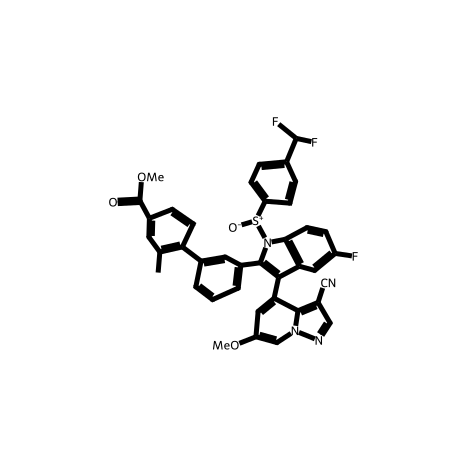 COC(=O)c1ccc(-c2cccc(-c3c(-c4cc(OC)cn5ncc(C#N)c45)c4cc(F)ccc4n3[S+]([O-])c3ccc(C(F)F)cc3)c2)c(C)c1